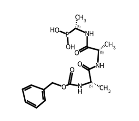 C[C@H](NC(=O)OCc1ccccc1)C(=O)N[C@@H](C)C(=O)N[C@@H](C)P(O)O